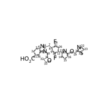 O=C(O)c1ccc2nc(Cc3cc(F)c(-c4cccc(OCc5nccs5)n4)cc3F)n(C[C@@H]3CCO3)c2c1